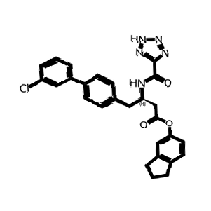 O=C(C[C@@H](Cc1ccc(-c2cccc(Cl)c2)cc1)NC(=O)c1nn[nH]n1)Oc1ccc2c(c1)CCC2